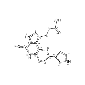 O=C(O)CCc1c[nH]c2c(=O)[nH]c3ccc(-c4cc[nH]n4)cc3c12